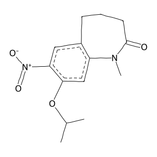 CC(C)Oc1cc2c(cc1[N+](=O)[O-])CCCC(=O)N2C